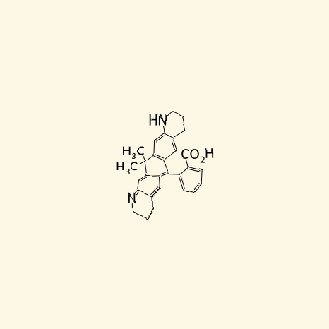 CC1(C)c2cc3c(cc2C(c2ccccc2C(=O)O)=c2cc4c(cc21)=NCCC4)CCCN3